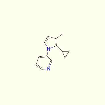 Cc1ccn(-c2cccnc2)c1C1CC1